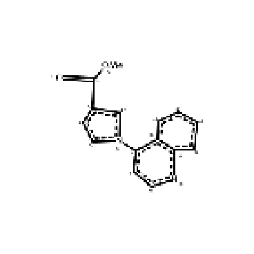 COC(=O)c1ccn(-c2ccnc3ccccc23)c1